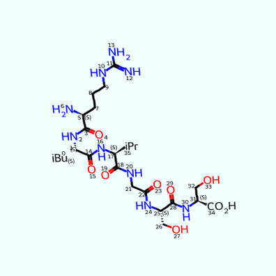 CC[C@H](C)[C@H](NC(=O)[C@@H](N)CCCNC(=N)N)C(=O)N[C@H](C(=O)NCC(=O)N[C@@H](CO)C(=O)N[C@@H](CO)C(=O)O)C(C)C